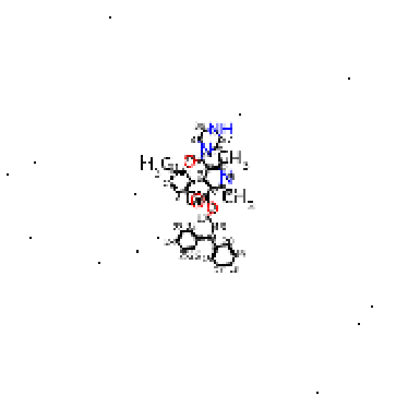 Cc1ccc(C)c(-c2c(C(=O)OCCC(c3ccccc3)c3ccccc3)c(C)nc(C)c2C(=O)N2CCNCC2)c1